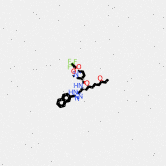 CCC(=O)CCCCC[C@H](NC(=O)[C@H]1CCC[N+](C)(OC(=O)C(F)(F)F)C1)c1nnc(-c2ccc3ccccc3c2)[nH]1